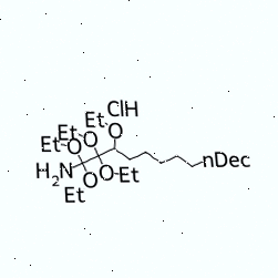 CCCCCCCCCCCCCCCC(OCC)C(OCC)(OCC)C(N)(OCC)OCC.Cl